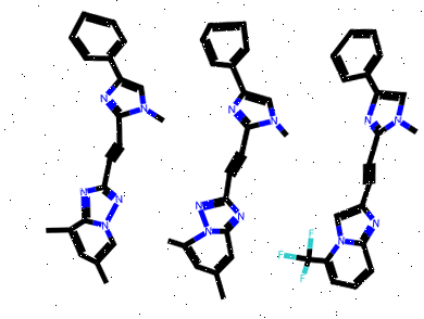 Cc1cc(C)c2nc(C#Cc3nc(-c4ccccc4)cn3C)nn2c1.Cc1cc(C)n2nc(C#Cc3nc(-c4ccccc4)cn3C)nc2c1.Cn1cc(-c2ccccc2)nc1C#Cc1cn2c(C(F)(F)F)cccc2n1